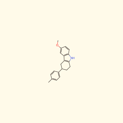 COc1ccc2[nH]c3c(c2c1)CC(c1ccc(C)cc1)CC3